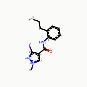 CC(C)CCc1ccccc1NC(=O)c1cn(C)nc1I